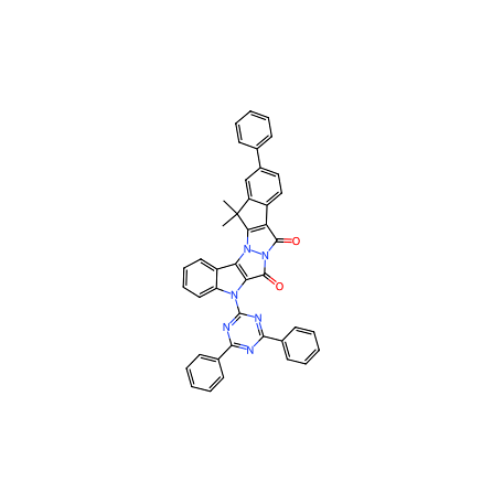 CC1(C)c2cc(-c3ccccc3)ccc2-c2c1n1c3c4ccccc4n(-c4nc(-c5ccccc5)nc(-c5ccccc5)n4)c3c(=O)n1c2=O